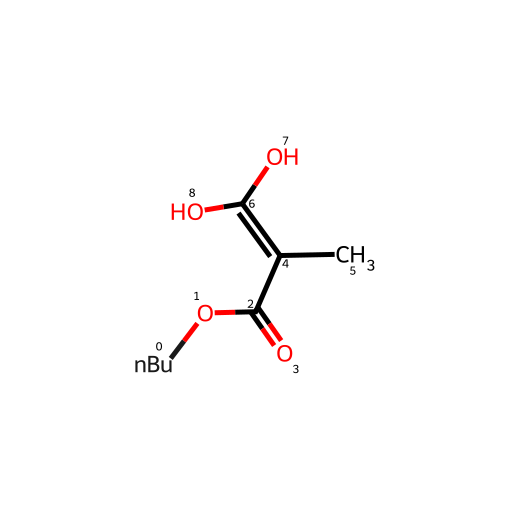 CCCCOC(=O)C(C)=C(O)O